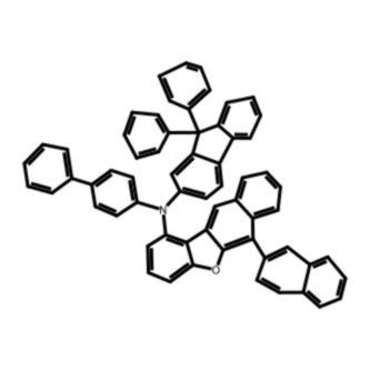 c1ccc(-c2ccc(N(c3ccc4c(c3)C(c3ccccc3)(c3ccccc3)c3ccccc3-4)c3cccc4oc5c(-c6ccc7ccccc7c6)c6ccccc6cc5c34)cc2)cc1